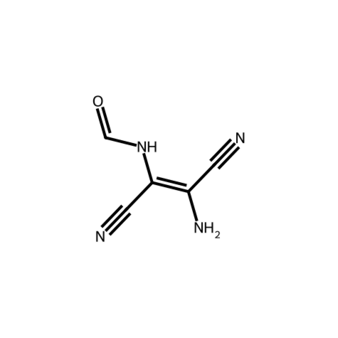 N#CC(N)=C(C#N)NC=O